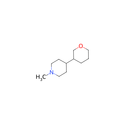 CN1CCC(C2CCCOC2)CC1